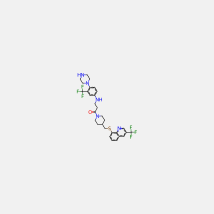 O=C(CCNc1ccc(N2CCNCC2)c(C(F)(F)F)c1)N1CCC(CSc2cccc3cc(C(F)(F)F)cnc23)CC1